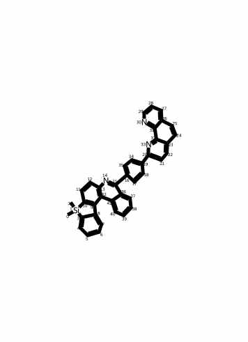 C[Si]1(C)c2ccccc2-c2c1ccc1nc(-c3ccc(-c4ccc5ccc6cccnc6c5n4)cc3)c3ccccc3c21